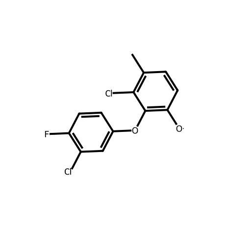 Cc1ccc([O])c(Oc2ccc(F)c(Cl)c2)c1Cl